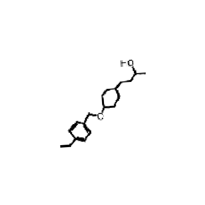 CCc1ccc(COC2CCC(CCC(C)O)CC2)cc1